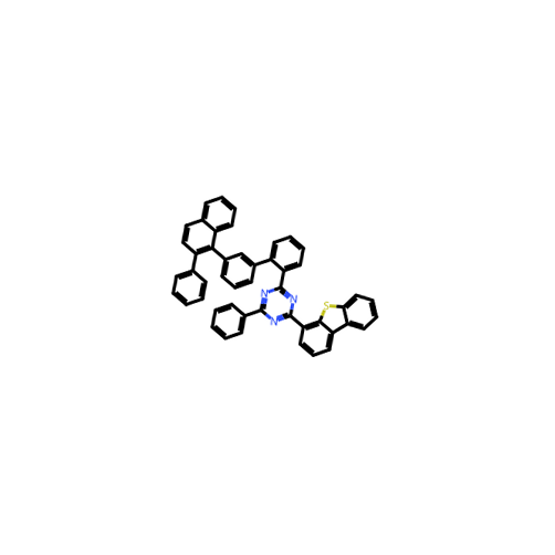 c1ccc(-c2nc(-c3ccccc3-c3cccc(-c4c(-c5ccccc5)ccc5ccccc45)c3)nc(-c3cccc4c3sc3ccccc34)n2)cc1